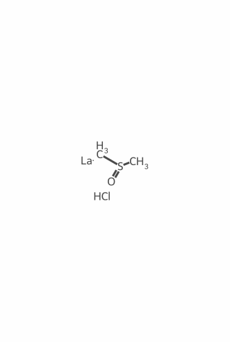 CS(C)=O.Cl.[La]